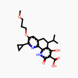 COCCCOc1cc2c(nc1C1CC1)-c1[nH]c(=O)c(C(=O)O)c(O)c1C(C(C)C)C2